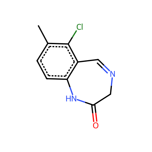 Cc1ccc2c(c1Cl)C=NCC(=O)N2